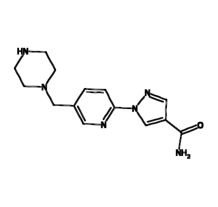 NC(=O)c1cnn(-c2ccc(CN3CCNCC3)cn2)c1